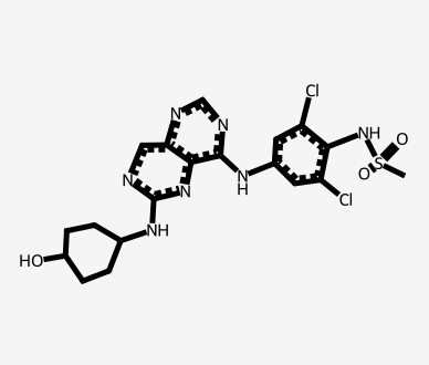 CS(=O)(=O)Nc1c(Cl)cc(Nc2ncnc3cnc(NC4CCC(O)CC4)nc23)cc1Cl